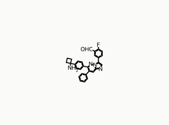 NC1(c2ccc(-c3nn4c(-c5ccc(F)c(C=O)c5)cnc4cc3-c3ccccc3)cc2)CCC1